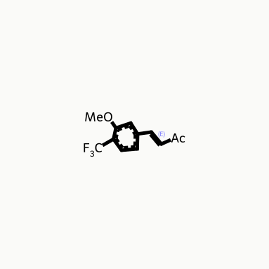 COc1cc(/C=C/C(C)=O)ccc1C(F)(F)F